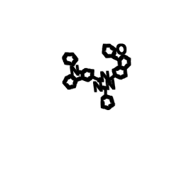 c1ccc(-c2nc(-c3ccc4ccc5oc6ccccc6c5c4c3)nc(-c3ccc4c(c3)c3ccccc3n4-c3ccccc3)n2)cc1